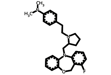 CN(C)c1ccc(CCN2CCCC2CN2c3ccccc3OCc3c(F)cccc32)cc1